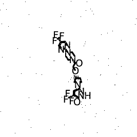 O=C(COC[C@@H]1CCN(c2cc(C(F)(F)F)c(=O)[nH]n2)C1)N1CCN(c2ncc(C(F)(F)F)cn2)CC1